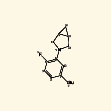 CC(C)(C)c1ccc(F)c(N2CC3CC3C2)c1